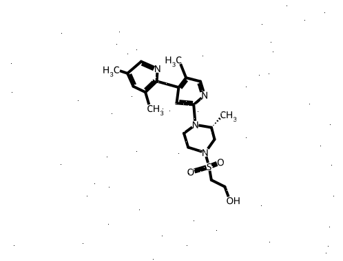 Cc1cnc(-c2cc(N3CCN(S(=O)(=O)CCO)C[C@H]3C)ncc2C)c(C)c1